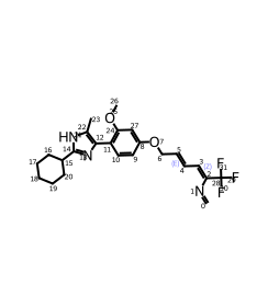 C=N/C(=C\C=C\COc1ccc(-c2nc(C3CCCCC3)[nH]c2C)c(OC)c1)C(F)(F)F